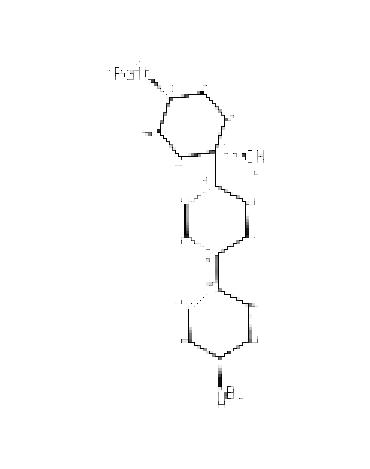 CCCCC[C@H]1CC[C@@](C#N)([C@H]2CC[C@@H]([C@H]3CC[C@H](CCCC)CC3)CC2)CC1